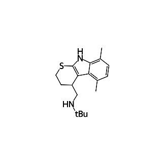 Cc1ccc(C)c2c3c([nH]c12)SCCC3CNC(C)(C)C